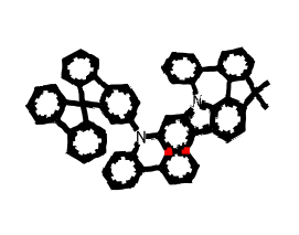 CC1(C)c2cccc3c2-c2c1ccc1c4ccc(N(c5ccc6c(c5)C5(c7ccccc7-c7ccccc75)c5ccccc5-6)c5ccccc5-c5ccccc5)cc4n(c21)-c1ccccc1-3